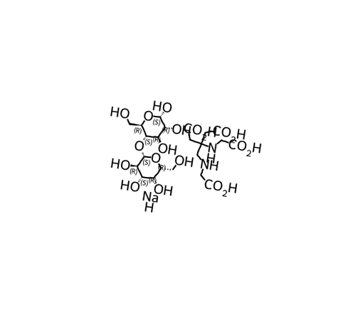 O=C(O)CNCC(CC(=O)O)(CC(=O)O)NCC(=O)O.OC[C@H]1O[C@@H](O[C@H]2[C@H](O)[C@@H](O)[C@@H](O)O[C@@H]2CO)[C@H](O)[C@@H](O)[C@H]1O.[NaH]